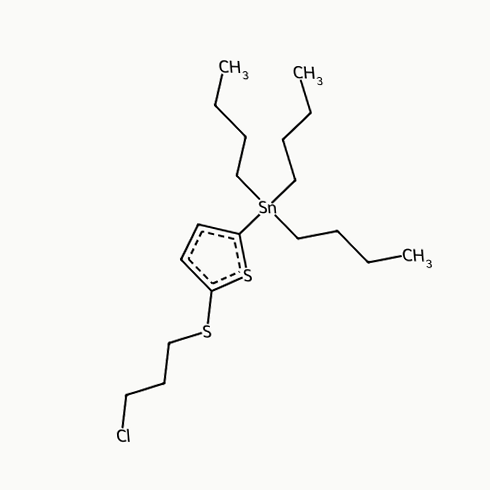 CCC[CH2][Sn]([CH2]CCC)([CH2]CCC)[c]1ccc(SCCCCl)s1